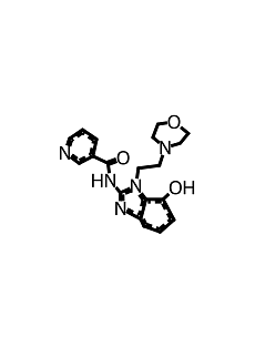 O=C(Nc1nc2cccc(O)c2n1CCN1CCOCC1)c1cccnc1